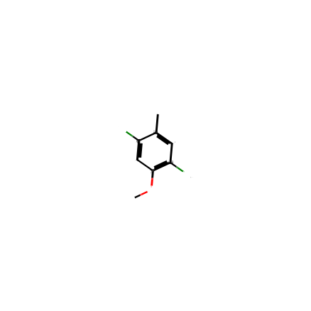 COc1cc(F)c(C)cc1F